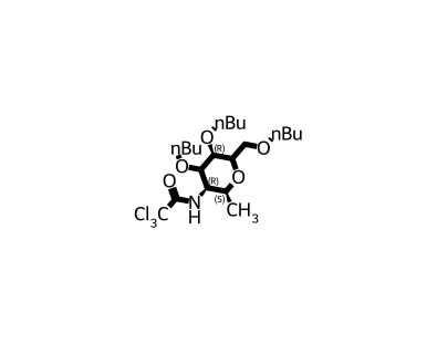 CCCCOCC1O[C@@H](C)[C@@H](NC(=O)C(Cl)(Cl)Cl)C(OCCCC)[C@H]1OCCCC